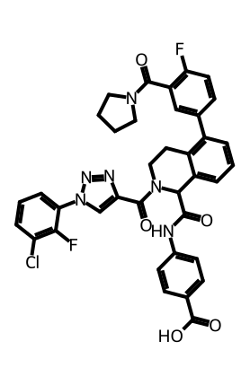 O=C(O)c1ccc(NC(=O)C2c3cccc(-c4ccc(F)c(C(=O)N5CCCC5)c4)c3CCN2C(=O)c2cn(-c3cccc(Cl)c3F)nn2)cc1